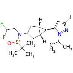 CC(C)n1nc(I)cc1[C@H]1[C@@H]2CC(N(CC(F)F)[S+]([O-])C(C)(C)C)C[C@@H]21